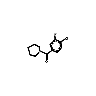 O=C(c1ccc(Cl)c(Br)c1)N1CCCCC1